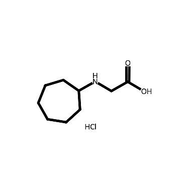 Cl.O=C(O)CNC1CCCCCC1